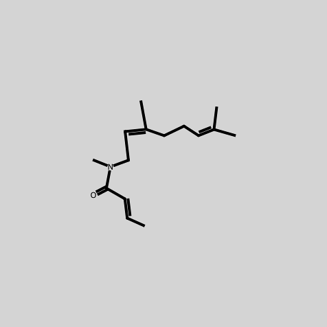 C/C=C/C(=O)N(C)C/C=C(/C)CCC=C(C)C